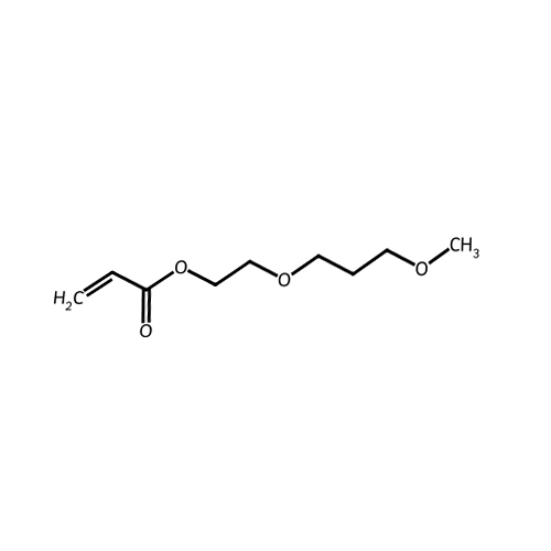 C=CC(=O)OCCOCCCOC